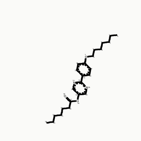 CCCCCCCOc1ccc(-c2ncc(OC(=O)CCCCCC)cn2)cc1